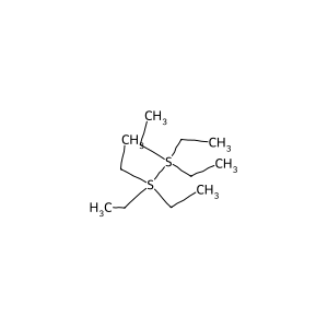 CCS(CC)(CC)S(CC)(CC)CC